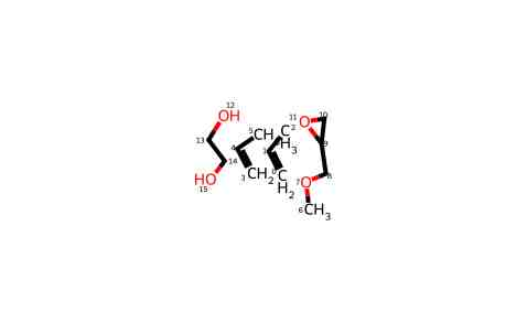 C=CC.C=CC.COCC1CO1.OCCO